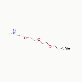 COCCOCCOCCOCCNF